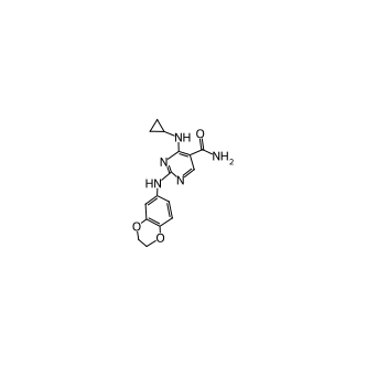 NC(=O)c1cnc(Nc2ccc3c(c2)OCCO3)nc1NC1CC1